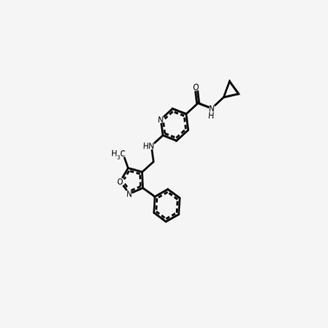 Cc1onc(-c2ccccc2)c1CNc1ccc(C(=O)NC2CC2)cn1